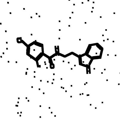 [CH2]c1cc(Cl)ccc1C(=O)NCCc1c[nH]c2ccccc12